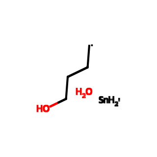 O.[CH2]CCCO.[SnH2]